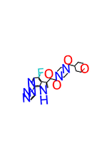 O=C(C(=O)N1CCN(C(=O)C2CCOCC2)CC1)c1c[nH]c2c(-n3ccnn3)ncc(F)c12